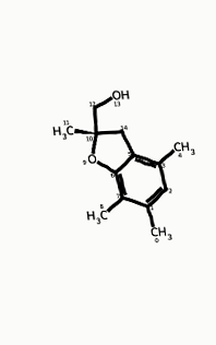 Cc1cc(C)c2c(c1C)O[C@](C)(CO)C2